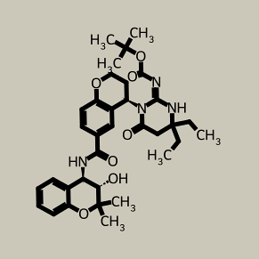 CCC1(CC)CC(=O)N([C@@H]2CCOc3ccc(C(=O)N[C@@H]4c5ccccc5OC(C)(C)[C@H]4O)cc32)/C(=N\C(=O)OC(C)(C)C)N1